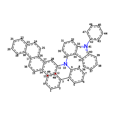 c1ccc(-c2ccccc2N(c2ccc3ccc4c5ccccc5ccc4c3c2)c2cccc3c2c2ccccc2n3-c2ccccc2)cc1